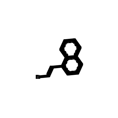 [CH2]CC=Cc1cccc2ccccc12